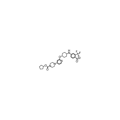 O=C(OC1CCCC1)N1CCN(c2ccnc(OC3CCC(Nc4ccc([N+](=O)[O-])c(C(F)(F)F)c4)CC3)c2)CC1